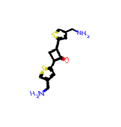 NCc1csc(C2CC(c3cc(CN)cs3)C2=O)c1